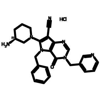 Cl.N#Cc1c(N2CCC[C@H](N)C2)n(Cc2ccccc2)c2c(=O)n(Cc3cccnc3)cnc12